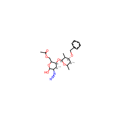 CC(=O)OCC1OC(O)C(N=[N+]=[N-])[C@@H](C)[C@@H]1O[C@@H]1OC(C)[C@@H](C)[C@@H](OCc2ccccc2)C1C